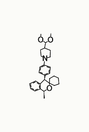 COC(OC)C1CCN(c2ccc([C@@H]3c4ccccc4[C@H](C)OC34CCCCC4)cc2)CC1